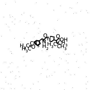 CC(C)(C)Oc1ccc(C[C@H](N)C(=O)N2CCC(C(C(=O)O)C(C)(C)C)CC2)cc1